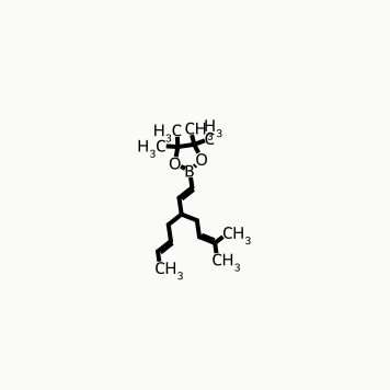 CC=CCC(/C=C/B1OC(C)(C)C(C)(C)O1)CC=C(C)C